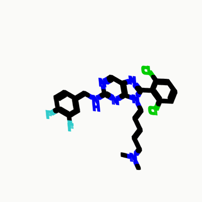 CN(C)CCCCCn1c(-c2c(Cl)cccc2Cl)nc2cnc(NCc3ccc(F)c(F)c3)nc21